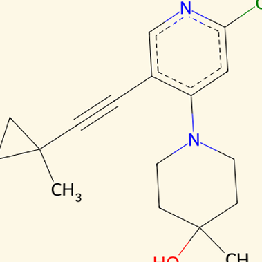 CC1(O)CCN(c2cc(Cl)ncc2C#CC2(C)CC2)CC1